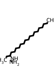 CCCCCCCCCCCCCCCCCC(CC)NN